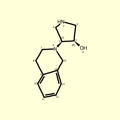 O[C@@H]1CNC[C@@H]1N1CCc2ccccc2C1